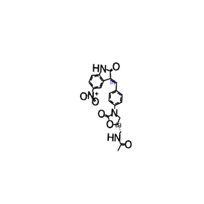 CC(=O)NC[C@H]1CN(c2ccc(/C=C3/C(=O)Nc4ccc([N+](=O)[O-])cc43)cc2)C(=O)O1